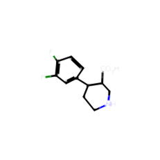 O=C(O)C1CNCCC1c1ccc(F)c(F)c1